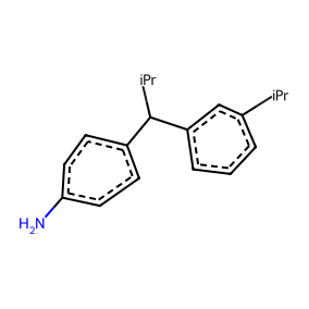 CC(C)c1cccc(C(c2ccc(N)cc2)C(C)C)c1